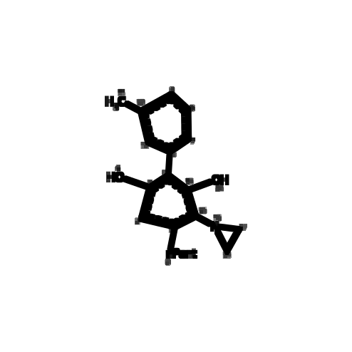 CCCCCc1cc(O)c(-c2cccc(C)c2)c(O)c1N1CC1